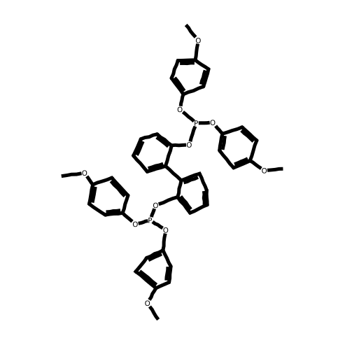 COc1ccc(OP(Oc2ccc(OC)cc2)Oc2ccccc2-c2ccccc2OP(Oc2ccc(OC)cc2)Oc2ccc(OC)cc2)cc1